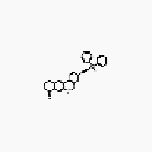 C[Si](C#Cc1ccc2c(c1)COc1cc3c(cc1-2)CCCC3=O)(c1ccccc1)c1ccccc1